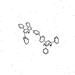 c1ccc(-c2cc(-c3ccc(-c4ccc(-c5cc6ccccc6c6c(-c7ccccc7)cc(-c7ccccc7)nc56)cc4)cc3)nc(-c3ccccc3)n2)cc1